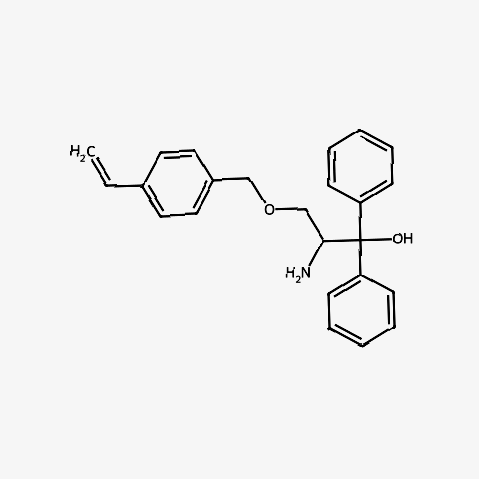 C=Cc1ccc(COCC(N)C(O)(c2ccccc2)c2ccccc2)cc1